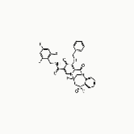 O=C(NCc1c(F)cc(F)cc1F)c1cn2c(c(OCc3ccccc3)c1=O)C(=O)N1C[C@@H]2CS(=O)(=O)c2ccccc21